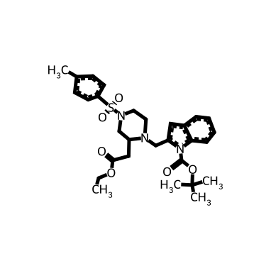 CCOC(=O)CC1CN(S(=O)(=O)c2ccc(C)cc2)CCN1Cc1cc2ccccc2n1C(=O)OC(C)(C)C